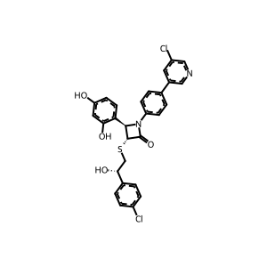 O=C1[C@H](SC[C@@H](O)c2ccc(Cl)cc2)[C@@H](c2ccc(O)cc2O)N1c1ccc(-c2cncc(Cl)c2)cc1